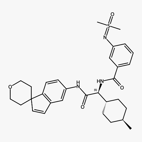 CS(C)(=O)=Nc1cccc(C(=O)N[C@H](C(=O)Nc2ccc3c(c2)C=CC32CCOCC2)[C@H]2CC[C@H](C)CC2)c1